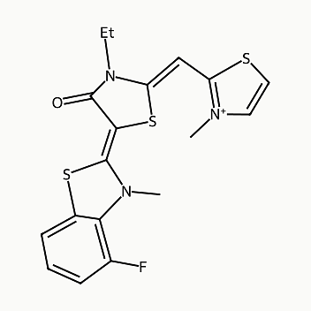 CCn1c(=O)/c(=C2\Sc3cccc(F)c3N2C)s/c1=C\c1scc[n+]1C